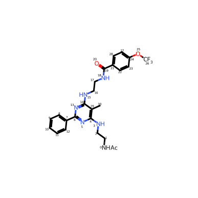 CC(=O)NCCNc1nc(-c2ccccc2)nc(NCCNC(=O)c2ccc(OC(F)(F)F)cc2)c1C